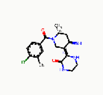 C[C@@H]1CC(=N)/C(=C2\NCCNC2=O)CN1C(=O)c1ccc(Cl)c(C#N)c1